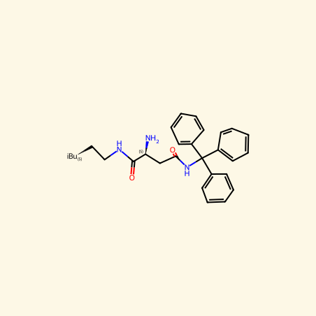 CC[C@H](C)CCNC(=O)[C@@H](N)CC(=O)NC(c1ccccc1)(c1ccccc1)c1ccccc1